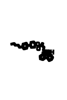 C=C(CCC(C)(C)[Si](O)(c1ccccc1)c1ccccc1)C(=O)OC1CCC(c2ccc(CCCCC)cc2)CC1